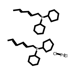 CC=CC=CCP(C1CCCCC1)C1CCCCC1.CC=CC=CCP(C1CCCCC1)C1CCCCC1.[Cl][Pd][Cl]